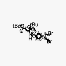 CC(C)(C)OC(=O)CC[C@H](NC(=O)Oc1ccc(N(CCBr)CCBr)cc1)C(=O)OC(C)(C)C